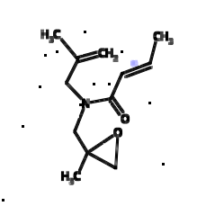 C=C(C)CN(CC1(C)CO1)C(=O)/C=C/C